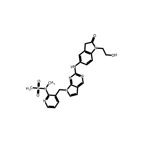 CN(c1ncccc1Cn1ccc2cnc(Nc3ccc4c(c3)CC(=O)N4CCO)nc21)S(C)(=O)=O